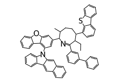 CCC1/C(c2cccc(-c3ccccc3)c2)=N\C(c2cc(-n3c4ccccc4c4cc5ccccc5cc43)c3c(c2)oc2ccccc23)C(C)CCC1c1cccc2c1sc1ccccc12